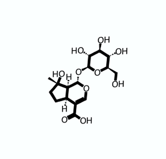 C[C@]1(O)CC[C@@H]2C(C(=O)O)=CO[C@@H](O[C@@H]3O[C@H](CO)[C@@H](O)[C@H](O)[C@H]3O)[C@@H]21